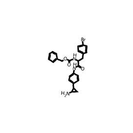 NC1CC1c1ccc(NC(=O)C(Cc2ccc(Br)cc2)NC(=O)OCc2ccccc2)cc1